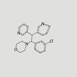 Clc1cccc(C(C(c2cccnc2)c2cccnc2)N2CCOCC2)c1